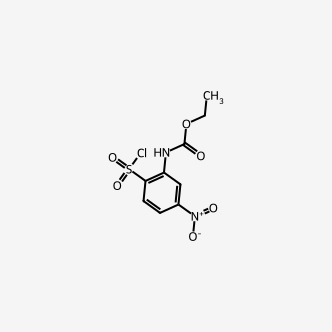 CCOC(=O)Nc1cc([N+](=O)[O-])ccc1S(=O)(=O)Cl